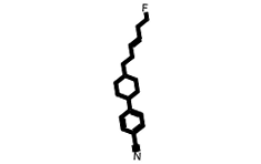 N#Cc1ccc(C2CCC(CCC=CCCF)CC2)cc1